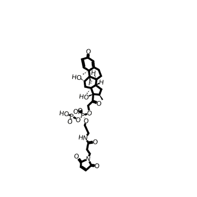 C[C@@H]1C[C@H]2[C@@H]3CCC4=CC(=O)C=C[C@]4(C)[C@@]3(F)[C@@H](O)C[C@]2(C)[C@@]1(O)C(=O)COP(=O)(OCCNC(=O)CCN1C(=O)C=CC1=O)OP(=O)(O)O